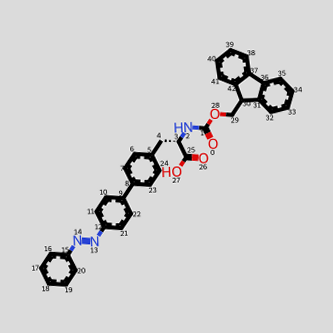 O=C(N[C@@H](Cc1ccc(-c2ccc(/N=N/c3ccccc3)cc2)cc1)C(=O)O)OCC1c2ccccc2-c2ccccc21